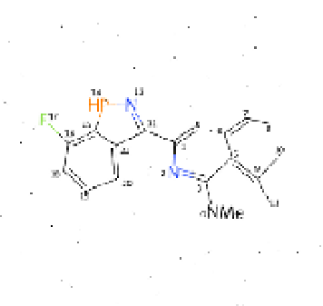 C=C(/N=C(/NC)C(/C=C\C)=C(C)C)c1n[pH]c2c(F)cccc12